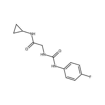 O=C(CNC(=O)Nc1ccc(F)cc1)NC1CC1